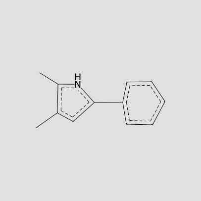 Cc1cc(-c2ccccc2)[nH]c1C